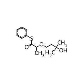 CC(OCCC(C)(C)O)C(=O)Sc1ccccc1